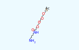 CC(=O)SCCOCCOCCOCCOCCC(=O)NCCCCCN